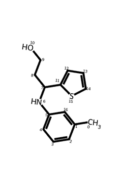 Cc1cccc(NC(CCO)c2cccs2)c1